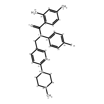 Cc1ccc(C(=O)N(Cc2ccc(N3CCN(C)CC3)nc2)c2ccc(F)cc2)c(C)c1